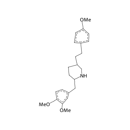 COc1ccc(CCC2CCC(Cc3ccc(OC)c(OC)c3)NC2)cc1